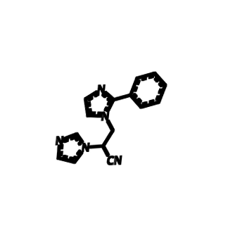 N#CC(Cn1ccnc1-c1ccccc1)n1ccnc1